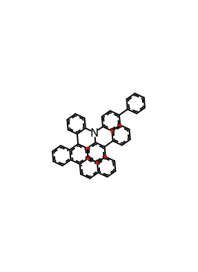 c1ccc(-c2ccc(N(c3ccccc3-c3ccccc3)c3ccccc3-c3cc4c5ccccc5ccc4c4ccccc34)cc2)cc1